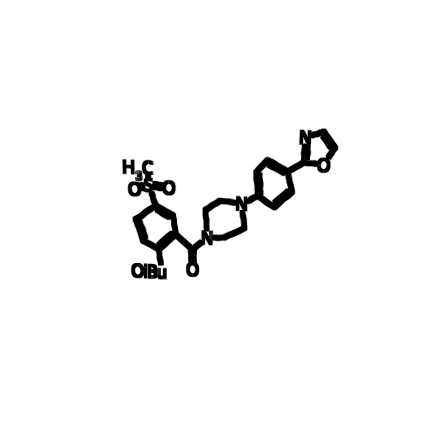 CC(C)COc1ccc(S(C)(=O)=O)cc1C(=O)N1CCN(c2ccc(-c3ncco3)cc2)CC1